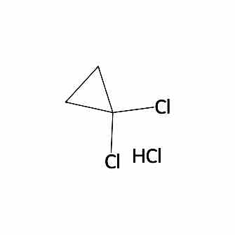 Cl.ClC1(Cl)CC1